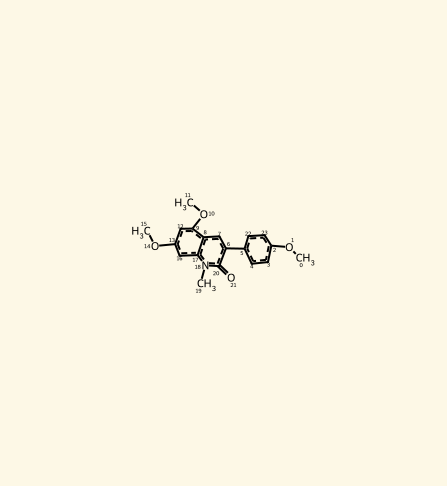 COc1ccc(-c2cc3c(OC)cc(OC)cc3n(C)c2=O)cc1